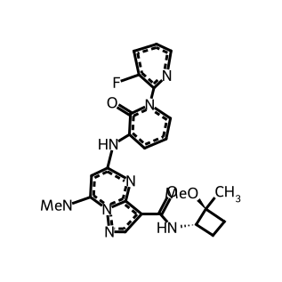 CNc1cc(Nc2cccn(-c3ncccc3F)c2=O)nc2c(C(=O)N[C@H]3CC[C@]3(C)OC)cnn12